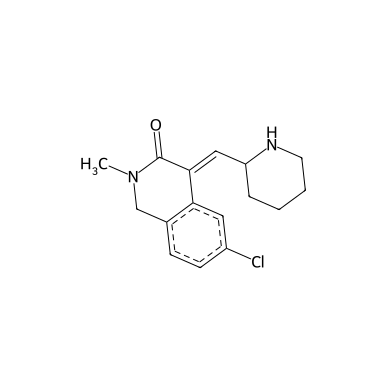 CN1Cc2ccc(Cl)cc2/C(=C\C2CCCCN2)C1=O